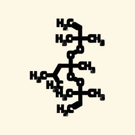 C=CC(C)(C)OOC(C)(CC(C)C)OOC(C)(C)C=C